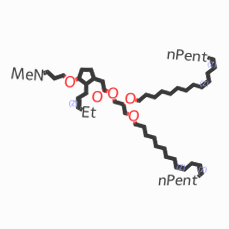 CC/C=C\CC1C(CC(=O)OCC(COCCCCCCCC/C=C\C/C=C\CCCCC)OCCCCCCCC/C=C\C/C=C\CCCCC)CCC1OCCCNC